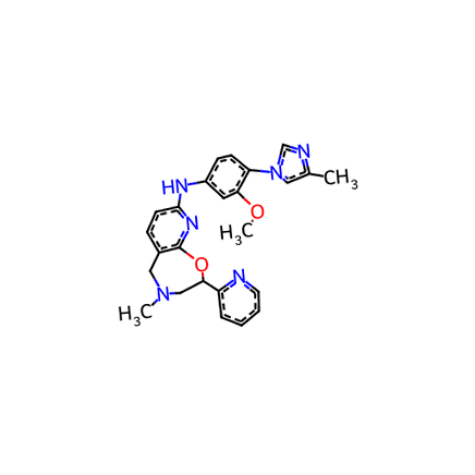 COc1cc(Nc2ccc3c(n2)OC(c2ccccn2)CN(C)C3)ccc1-n1cnc(C)c1